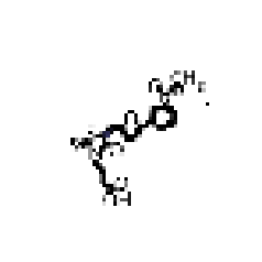 CO[N+](=O)c1cccc(-c2ccc(/C=C3/SC(=S)N(CCCC(=O)O)C3=O)o2)c1